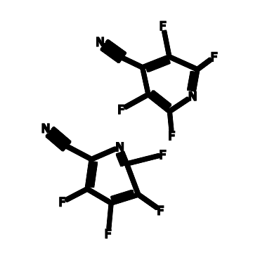 N#Cc1c(F)c(F)nc(F)c1F.N#Cc1nc(F)c(F)c(F)c1F